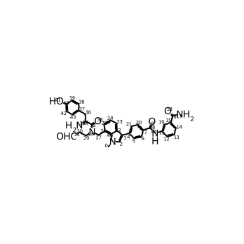 Cn1cc(-c2ccc(C(=O)Nc3cccc(C(N)=O)c3)cc2)c2cccc(CN(CCC=O)C(=O)[C@@H](N)Cc3ccc(O)cc3)c21